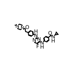 CN1CCN(C(=O)Cc2ccc(Nc3ncc(F)c(Nc4ccc(C(=O)NC5CC5)cc4)n3)cc2)CC1